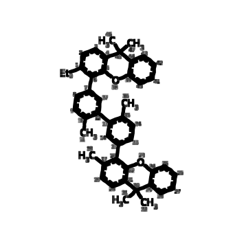 CCc1ccc2c(c1-c1ccc(C)c(-c3cc(-c4c(C)ccc5c4Oc4ccccc4C5(C)C)ccc3C)c1)Oc1ccccc1C2(C)C